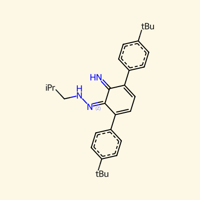 CC(C)CN/N=C1\C(=N)C(c2ccc(C(C)(C)C)cc2)=CC=C1c1ccc(C(C)(C)C)cc1